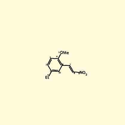 CCc1ccc(OC)c(C=C[N+](=O)[O-])c1